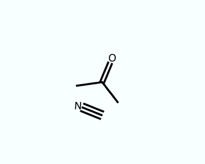 C#N.CC(C)=O